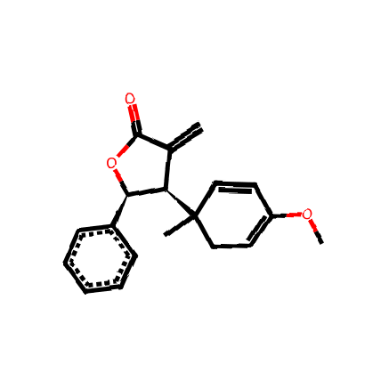 C=C1C(=O)O[C@H](c2ccccc2)[C@@H]1C1(C)C=CC(OC)=CC1